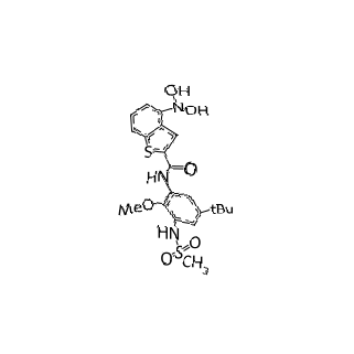 COc1c(NC(=O)c2cc3c(N(O)O)cccc3s2)cc(C(C)(C)C)cc1NS(C)(=O)=O